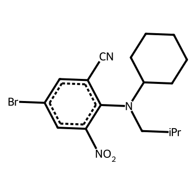 CC(C)CN(c1c(C#N)cc(Br)cc1[N+](=O)[O-])C1CCCCC1